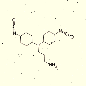 NCCC[C](C1CCC(N=C=O)CC1)C1CCC(N=C=O)CC1